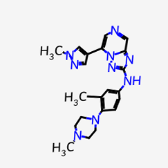 Cc1cc(Nc2nc3cncc(-c4cnn(C)c4)n3n2)ccc1N1CCN(C)CC1